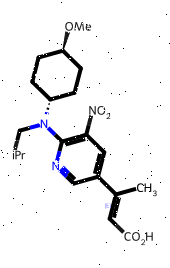 CO[C@H]1CC[C@H](N(CC(C)C)c2ncc(/C(C)=C/C(=O)O)cc2[N+](=O)[O-])CC1